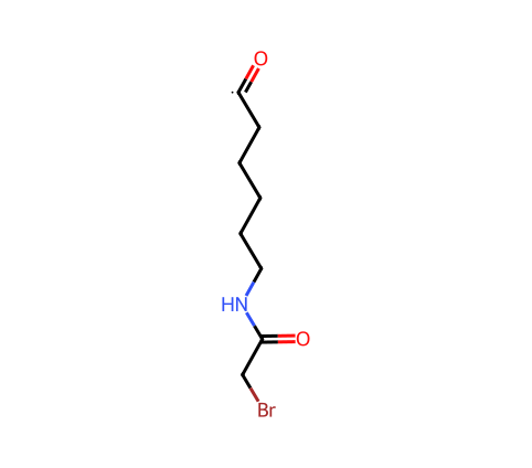 O=[C]CCCCCNC(=O)CBr